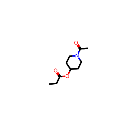 CCC(=O)OC1CCN(C(C)=O)CC1